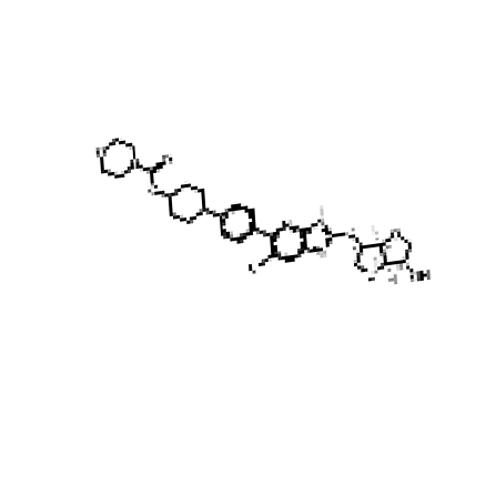 O=C(OC1CCC(c2ccc(-c3nc4[nH]c(O[C@@H]5CO[C@H]6[C@@H]5OC[C@H]6O)nc4cc3Cl)cc2)CC1)N1CCOCC1